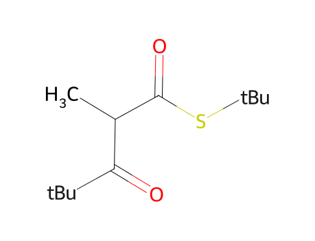 CC(C(=O)SC(C)(C)C)C(=O)C(C)(C)C